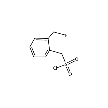 O=S(=O)(Cl)Cc1ccccc1CF